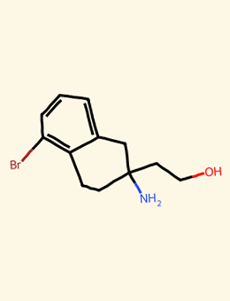 NC1(CCO)CCc2c(Br)cccc2C1